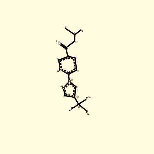 CC(C)CC(=O)c1ccc(-n2cc(C(F)(F)F)cn2)nc1